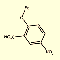 CCOc1ccc([N+](=O)[O-])cc1C(=O)O